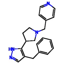 c1ccc(Cc2cn[nH]c2C2CCN(Cc3ccncc3)C2)cc1